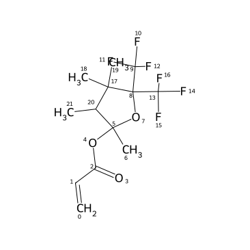 C=CC(=O)OC1(C)OC(C(F)(F)F)(C(F)(F)F)C(C)(C)C1C